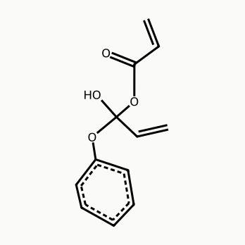 C=CC(=O)OC(O)(C=C)Oc1ccccc1